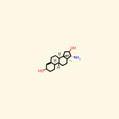 C[C@]12CC[C@H]3[C@@H](CCC4=C[C@H](O)CC[C@@H]43)[C@@H]1C[C@@H](O)[C@@H]2N